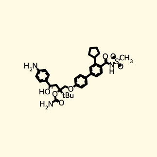 CC(C)(C)C(COc1ccc(-c2ccc(C(=O)NS(C)(=O)=O)c(C3CCCC3)c2)cc1)(C[C@@H](O)c1ccc(N)cc1)OC(N)=O